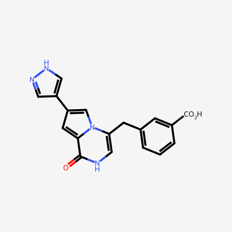 O=C(O)c1cccc(Cc2c[nH]c(=O)c3cc(-c4cn[nH]c4)cn23)c1